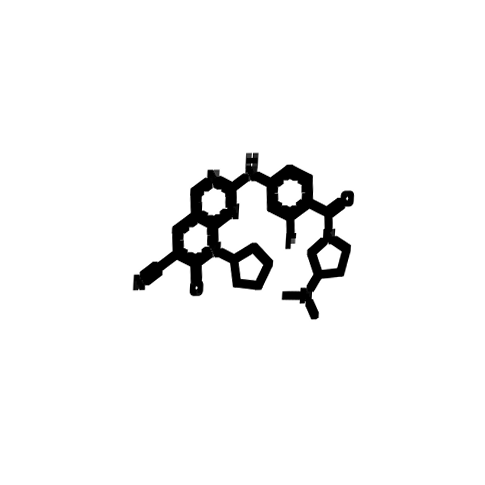 CN(C)C1CCN(C(=O)c2ccc(Nc3ncc4cc(C#N)c(=O)n(C5CCCC5)c4n3)cc2F)C1